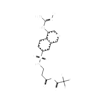 NC(=NCl)Nc1cncc2cc(S(=O)(=O)NCCC(=O)OC(=O)C(F)(F)F)ccc12